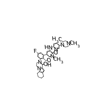 CC1CN(C)CCN1c1ccc(Nc2cc(-c3cc(F)cc(N4CCn5c(cc6c5CCCC6)C4=O)c3CO)cn(C)c2=O)nc1